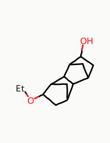 CCOC1CC2CC1C1C3CC(CC3O)C21